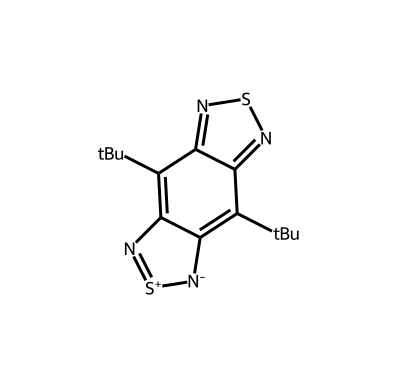 CC(C)(C)c1c2nsnc2c(C(C)(C)C)c2[n-][s+]nc12